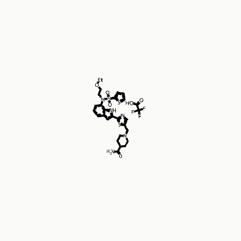 CCOCCN(c1cccc2cc(-c3ncc(CN4CCC(C(N)=O)CC4)s3)[nH]c12)S(=O)(=O)c1cccs1.O=C(O)C(F)(F)F